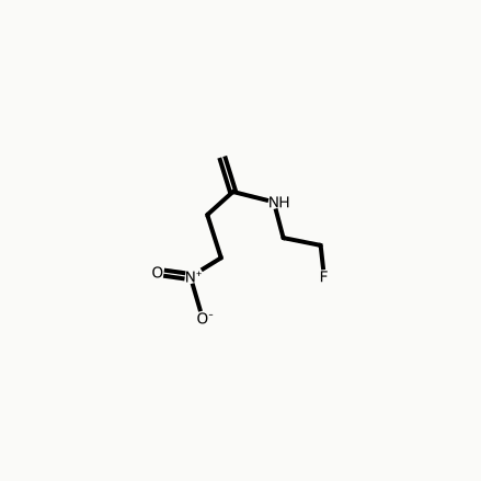 C=C(CC[N+](=O)[O-])NCCF